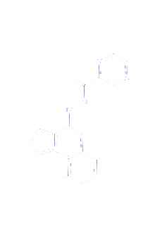 Cl.O=C(NNc1nc2cccc(F)c2n2cccc12)c1cnccn1